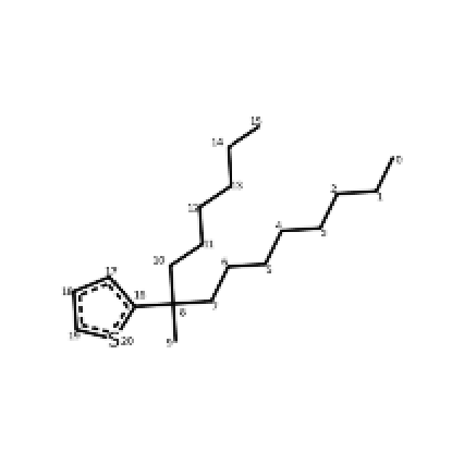 CCCCCCCCC(C)(CCCCCC)c1cccs1